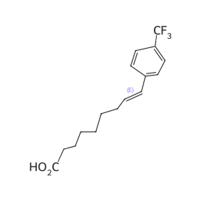 O=C(O)CCCCCC/C=C/c1ccc(C(F)(F)F)cc1